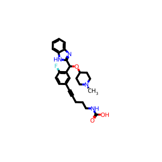 CN1CCC(OC(c2nc3ccccc3[nH]2)c2cc(C#CCCCNC(=O)O)ccc2F)CC1